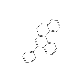 CCOc1cc(-c2ccccc2)c2ccccc2c1-c1ccccc1